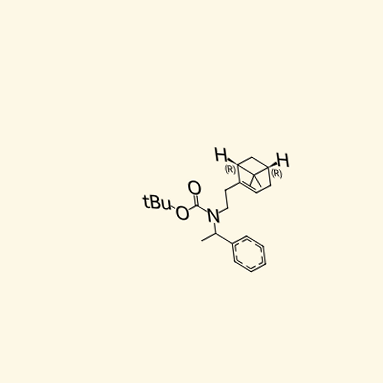 CC(c1ccccc1)N(CCC1=CC[C@H]2C[C@@H]1C2(C)C)C(=O)OC(C)(C)C